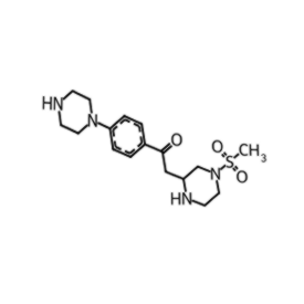 CS(=O)(=O)N1CCNC(CC(=O)c2ccc(N3CCNCC3)cc2)C1